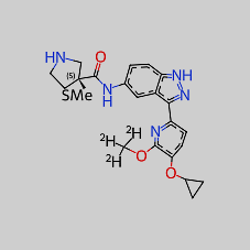 [2H]C([2H])([2H])Oc1nc(-c2n[nH]c3ccc(NC(=O)[C@]4(SC)CCNC4)cc23)ccc1OC1CC1